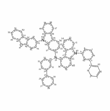 C1=CCCC(c2cccc(-n3c4ccccc4c4c(N(c5cccc(-c6ccccc6)c5)c5ccc6c7ccccc7n(-c7ccc8oc9ccccc9c8c7)c6c5)cccc43)c2)=C1